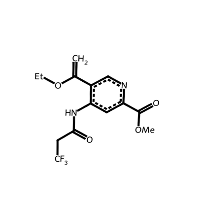 C=C(OCC)c1cnc(C(=O)OC)cc1NC(=O)CC(F)(F)F